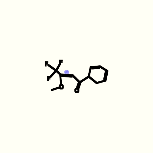 CO/C(=C\C(=O)C1C=CC=CC1)C(F)(F)F